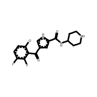 O=C(NC1CCNCC1)c1cc(C(=O)c2c(Cl)ccc(F)c2F)c[nH]1